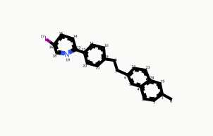 Cc1ccc2cc(CCc3ccc(-c4ccc(I)cn4)cc3)ccc2c1